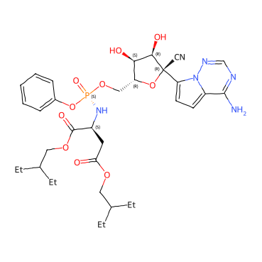 CCC(CC)COC(=O)C[C@H](N[P@](=O)(OC[C@H]1O[C@@](C#N)(c2ccc3c(N)ncnn23)[C@H](O)[C@@H]1O)Oc1ccccc1)C(=O)OCC(CC)CC